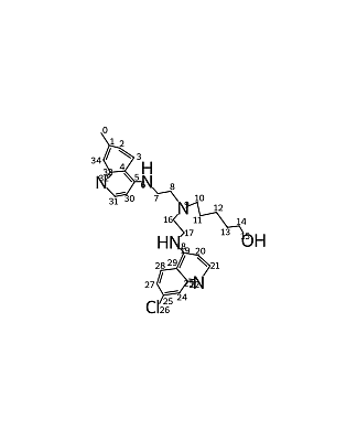 Cc1ccc2c(NCCN(CCCCCO)CCNc3ccnc4cc(Cl)ccc34)ccnc2c1